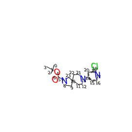 CC(C)(C)OC(=O)N1CCC2(CCN(c3ccnc(Cl)c3)CC2)C1